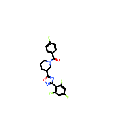 O=C(c1ccc(F)cc1)N1CCCC(c2nc(-c3c(F)cc(F)cc3F)no2)C1